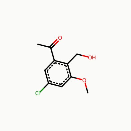 COc1cc(Cl)cc(C(C)=O)c1CO